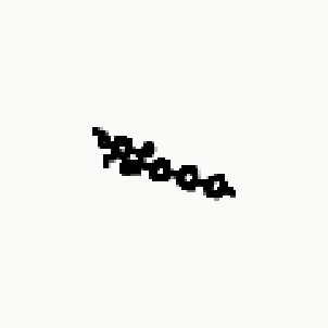 CCOc1ccc(C(=O)Cc2ccc(-c3ccc(-c4ccc(C)cc4)cc3)cc2)c(O)c1F